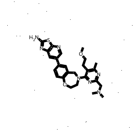 COCCc1c(C)nc(CN(C)C)nc1N1CCOc2ccc(-c3cnc4sc(N)nc4c3)cc2C1